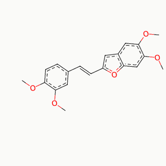 COc1ccc(/C=C/c2cc3cc(OC)c(OC)cc3o2)cc1OC